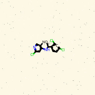 CC(Nc1cc(Cl)ncc1[N+](=O)[O-])c1ccc(Cl)cc1Cl